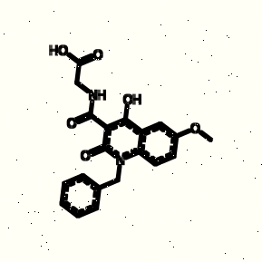 COc1ccc2c(c1)c(O)c(C(=O)NCC(=O)O)c(=O)n2Cc1ccccc1